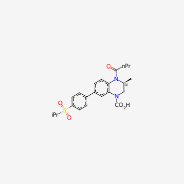 CCCC(=O)N1c2ccc(-c3ccc(S(=O)(=O)C(C)C)cc3)cc2N(C(=O)O)C[C@@H]1C